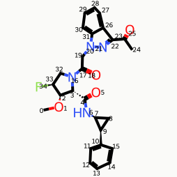 CO[C@H]1[C@@H](C(=O)N[C@@H]2C[C@H]2c2ccccc2)N(C(=O)Cn2nc(C(C)=O)c3ccccc32)C[C@@H]1F